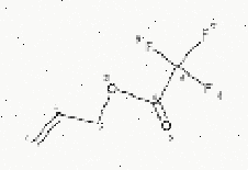 C=C[CH]OC(=O)C(F)(F)F